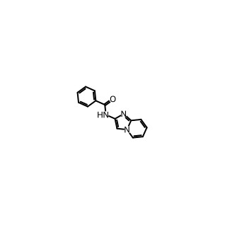 O=C(Nc1cn2ccccc2n1)c1ccccc1